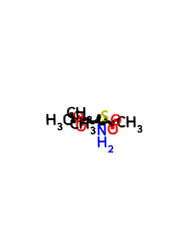 COC(=O)c1scc(CCC(=O)OC(C)(C)C)c1N